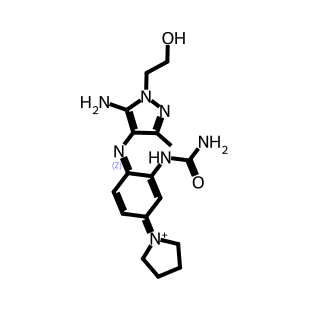 Cc1nn(CCO)c(N)c1/N=C1/C=CC(=[N+]2CCCC2)C=C1NC(N)=O